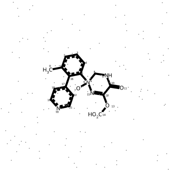 Cc1cccc([N+]2([O-])CNC(=O)C(OC(=O)O)=N2)c1-c1ccncc1